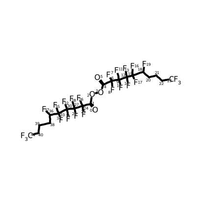 O=C(OOC(=O)C(F)(F)C(F)(F)C(F)(F)C(F)(F)C(F)CCCC(F)(F)F)C(F)(F)C(F)(F)C(F)(F)C(F)(F)C(F)CCCC(F)(F)F